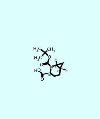 CC(C)(C)OC(=O)N1[C@@H]2C[C@@H]2CC[C@H]1C(=O)O